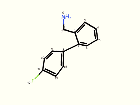 N[CH]c1ccccc1-c1ccc(F)cc1